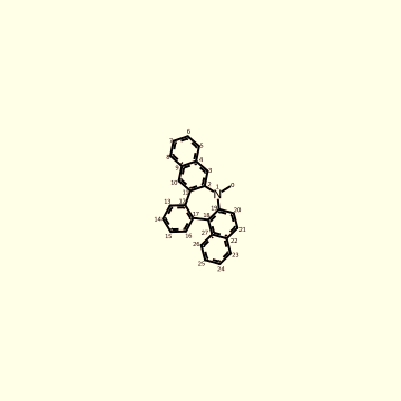 CN1c2cc3ccccc3cc2-c2ccccc2-c2c1ccc1ccccc21